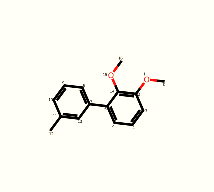 COc1cccc(-c2cc[c]c(C)c2)c1OC